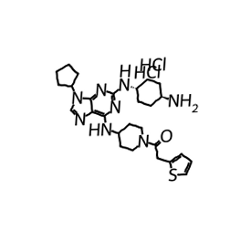 Cl.Cl.N[C@H]1CC[C@H](Nc2nc(NC3CCN(C(=O)Cc4cccs4)CC3)c3ncn(C4CCCC4)c3n2)CC1